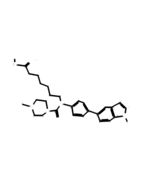 CN1CCN(C(=O)N(CCCCCCC(=O)NO)c2ccc(-c3ccc4c(ccn4C)c3)cc2)CC1